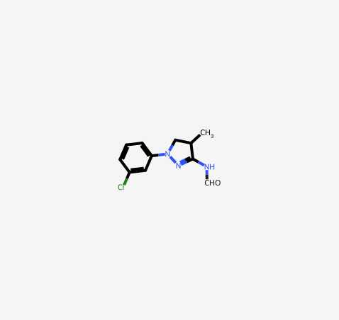 CC1CN(c2cccc(Cl)c2)N=C1NC=O